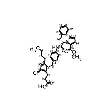 CCCCc1nc(Cl)c(CCC(=O)O)n1Cc1ccc(NC(=O)[C@H](Cc2ccccc2)n2cccc2C(=O)OC)cc1